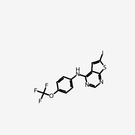 FC(F)(F)Oc1ccc(Nc2ncnc3sc(I)cc23)cc1